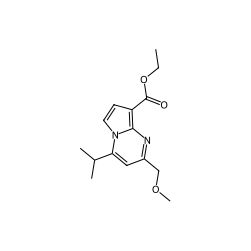 CCOC(=O)c1ccn2c(C(C)C)cc(COC)nc12